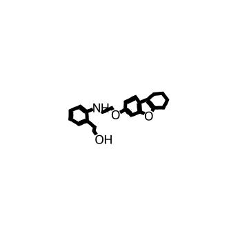 OCCc1ccccc1NCCOc1ccc2c3c(oc2c1)CCCC3